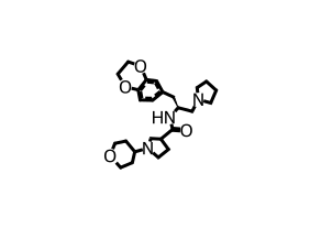 O=C(N[C@@H](Cc1ccc2c(c1)OCCO2)CN1CCCC1)C1CCN(C2CCOCC2)C1